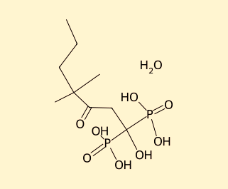 CCCC(C)(C)C(=O)CC(O)(P(=O)(O)O)P(=O)(O)O.O